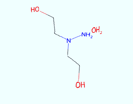 NN(CCO)CCO.O